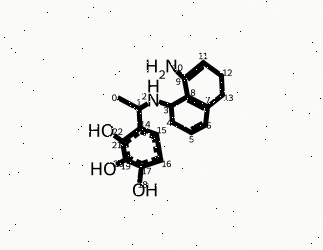 CC(NC1CC=CC2=C1C(N)=CCC2)c1ccc(O)c(O)c1O